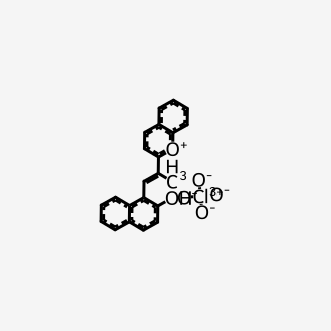 CC(=Cc1c(O)ccc2ccccc12)c1ccc2ccccc2[o+]1.[O-][Cl+3]([O-])([O-])[O-]